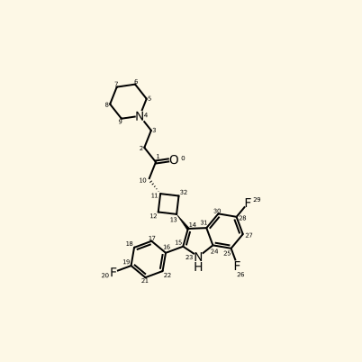 O=C(CCN1CCCCC1)C[C@H]1C[C@H](c2c(-c3ccc(F)cc3)[nH]c3c(F)cc(F)cc32)C1